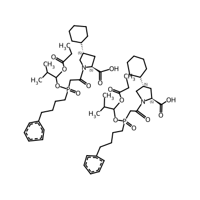 CCC(=O)OC(OP(=O)(CCCCc1ccccc1)CC(=O)N1C[C@H](C2CCCCC2)C[C@H]1C(=O)O)C(C)C.CCC(=O)OC(OP(=O)(CCCCc1ccccc1)CC(=O)N1C[C@H](C2CCCCC2)C[C@H]1C(=O)O)C(C)C